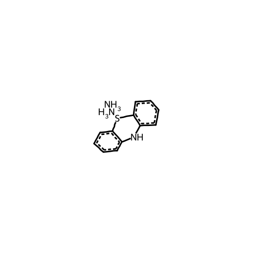 N.N.c1ccc2c(c1)Nc1ccccc1S2